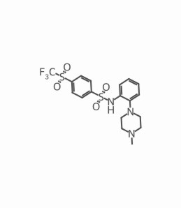 CN1CCN(c2ccccc2NS(=O)(=O)c2ccc(S(=O)(=O)C(F)(F)F)cc2)CC1